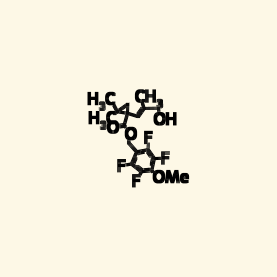 COc1c(F)c(F)c(COC(=O)C2(/C=C(\C)CO)CC2(C)C)c(F)c1F